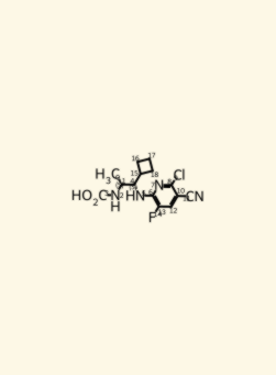 C[C@H](NC(=O)O)[C@@H](Nc1nc(Cl)c(C#N)cc1F)C1CCC1